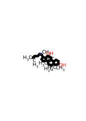 CC(C)=CC/C=C(/C)C1CC[C@]2(C)C1[C@H](O)CC1[C@@]3(C)CC[C@H](O)C(C)(C)C3[C@H](C)C[C@]12C